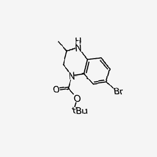 CC1CN(C(=O)OC(C)(C)C)c2cc(Br)ccc2N1